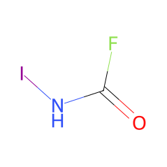 O=C(F)NI